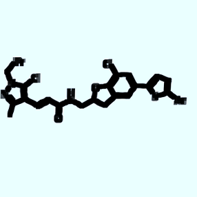 CC(=O)c1ccc(-c2cc(Cl)c3c(c2)CC(CNC(=O)C=Cc2c(C)nn(CC(C)C)c2Cl)O3)s1